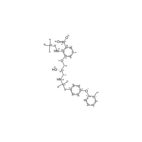 Cc1cccnc1Oc1ccc(CC(C)(C)NC[C@H](O)COc2cccc([N+](=O)[O-])c2NCC(C)(C)C)cc1